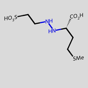 CSCC[C@H](NNCCS(=O)(=O)O)C(=O)O